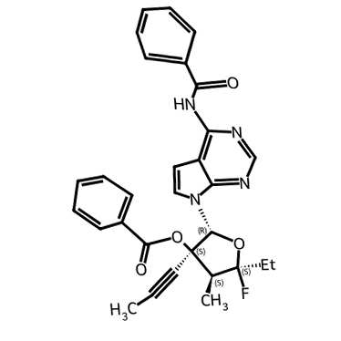 CC#C[C@]1(OC(=O)c2ccccc2)[C@H](n2ccc3c(NC(=O)c4ccccc4)ncnc32)O[C@](F)(CC)[C@H]1C